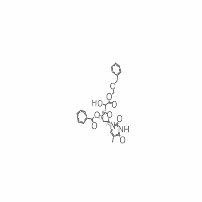 Cc1cn([C@H]2C[C@H](OC(=O)c3ccccc3)[C@@H](C(O)C(=O)OCOCc3ccccc3)O2)c(=O)[nH]c1=O